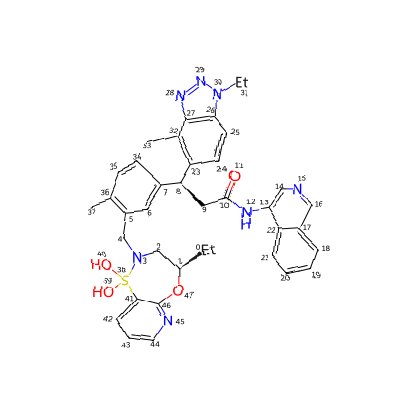 CC[C@@H]1CN(Cc2cc([C@H](CC(=O)Nc3cncc4ccccc34)c3ccc4c(nnn4CC)c3C)ccc2C)S(O)(O)c2cccnc2O1